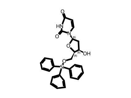 O=c1ccn([C@H]2C[C@@H](O)[C@@H](CO[Si](c3ccccc3)(c3ccccc3)c3ccccc3)O2)c(=O)[nH]1